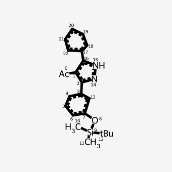 CC(=O)c1c(-c2cccc(O[Si](C)(C)C(C)(C)C)c2)n[nH]c1-c1ccccc1